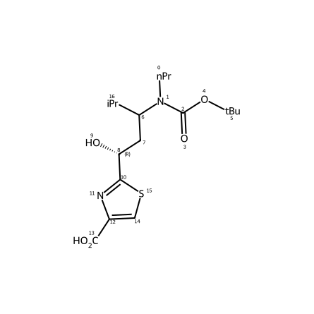 CCCN(C(=O)OC(C)(C)C)C(C[C@@H](O)c1nc(C(=O)O)cs1)C(C)C